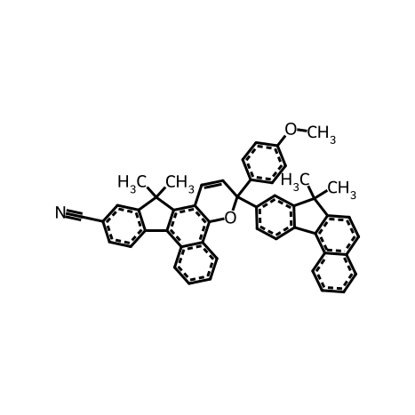 COc1ccc(C2(c3ccc4c(c3)C(C)(C)c3ccc5ccccc5c3-4)C=Cc3c4c(c5ccccc5c3O2)-c2ccc(C#N)cc2C4(C)C)cc1